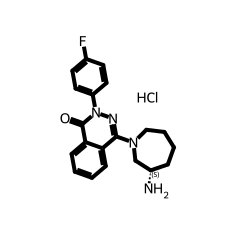 Cl.N[C@H]1CCCCN(c2nn(-c3ccc(F)cc3)c(=O)c3ccccc23)C1